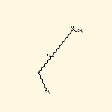 CCCCCCCC/C=C\CCCCCCCC(=O)OCCCCCCCCCCCCCC(C)CC